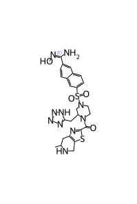 CC1Cc2nc(C(=O)N3CCN(S(=O)(=O)c4ccc5cc(/C(N)=N\O)ccc5c4)CC3Cc3nnn[nH]3)sc2CN1